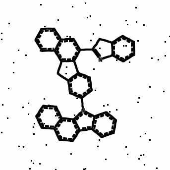 c1ccc2c(c1)CC(c1cc3ccccc3c3c1-c1ccc(-n4c5ccccc5c5ccc6ccccc6c54)cc1C3)=N2